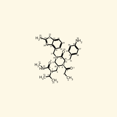 CCC(=O)N1[C@@H](CN(C(=O)NC)C(C)C)CN(Cc2cccc3sc(N)nc23)C(=O)[C@@H]1Cc1ccc(N)cc1